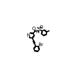 Cc1cccc(S(C)(=O)=NC(=O)c2cncc(C#Cc3ccccc3Br)c2)c1